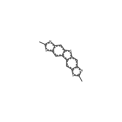 Cc1nc2cc3sc4cc5nc(C)sc5cc4c3cc2s1